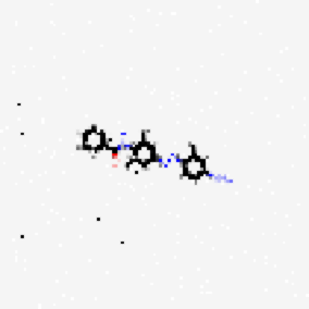 Cc1cc(N)ccc1N=Nc1cc(C)c(NC(=O)c2ccccc2)c(C)c1